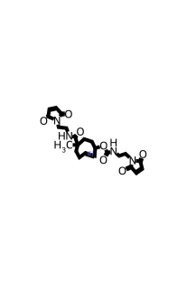 CC1(C(=O)NCCN2C(=O)C=CC2=O)CC/C=C/C(OC(=O)NCCN2C(=O)C=CC2=O)CC1